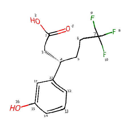 O=C(O)C[C@H](CCC(F)(F)F)c1cccc(O)c1